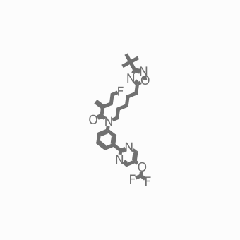 C=C(CCF)C(=O)N(CCCCCc1nc(C(C)(C)C)no1)c1cccc(-c2ncc(OC(F)F)cn2)c1